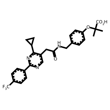 CC(C)(Oc1ccc(CNC(=O)Cc2cnc(-c3ccc(C(F)(F)F)cc3)nc2C2CC2)cc1)C(=O)O